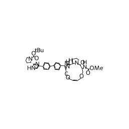 COC(=O)N[C@H]1COCC=CCOCc2[nH]c(nc2-c2ccc(-c3ccc(-c4c[nH]c([C@@H]5CCCN5C(=O)OC(C)(C)C)n4)cc3)cc2)[C@@H]2CCCN2C1=O